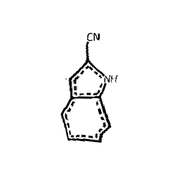 N#Cc1[c]c2ccccc2[nH]1